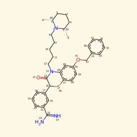 C[C@@H]1CCC[C@H](C)N1CCCCCN1C(=O)C(c2cccc(C(=N)N)c2)Sc2ccc(OCc3ccccc3)cc21